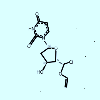 C=COC(Cl)[C@H]1O[C@@H](n2ccc(=O)[nH]c2=O)C[C@@H]1O